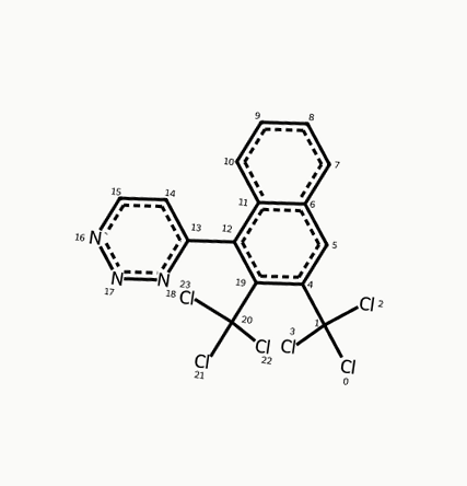 ClC(Cl)(Cl)c1cc2ccccc2c(-c2ccnnn2)c1C(Cl)(Cl)Cl